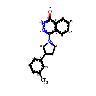 O=c1[nH]nc(N2CCC(c3cccc(C(F)(F)F)c3)C2)c2ccccc12